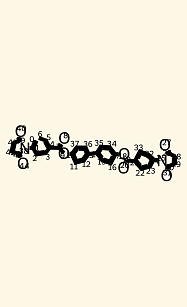 C=C(/C=C\C(=C/C)C(=O)Oc1ccc(-c2ccc(OC(=O)c3ccc(N4C(=O)C=CC4=O)cc3)cc2)cc1)N1C(=O)C=CC1=O